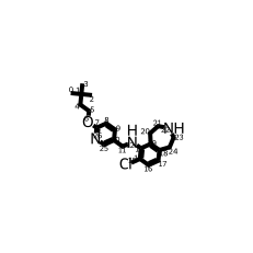 CC(C)(C)CCOc1ccc(CNc2c(Cl)ccc3c2CCNCC3)cn1